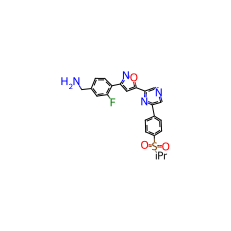 CC(C)S(=O)(=O)c1ccc(-c2cn[c]c(-c3cc(-c4ccc(CN)cc4F)no3)n2)cc1